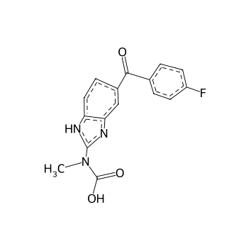 CN(C(=O)O)c1nc2cc(C(=O)c3ccc(F)cc3)ccc2[nH]1